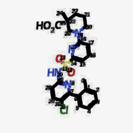 Cc1ccccc1-c1nc(NS(=O)(=O)c2cccc(N3CCC[C@@](C)(C(=O)O)C3)n2)ccc1Cl